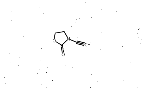 C#CN1CCOC1=O